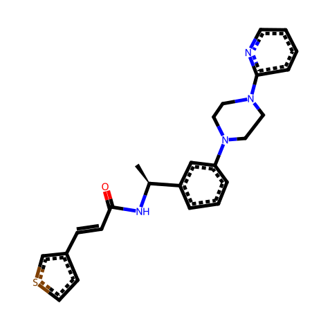 C[C@H](NC(=O)C=Cc1ccsc1)c1cccc(N2CCN(c3ccccn3)CC2)c1